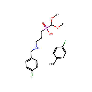 CCOC(OCC)P(=O)(O)CCCNCc1ccc(F)cc1.O=Cc1ccc(F)cc1